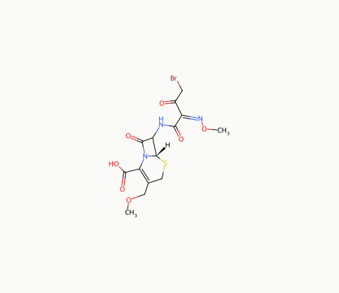 COCC1=C(C(=O)O)N2C(=O)C(NC(=O)/C(=N\OC)C(=O)CBr)[C@@H]2SC1